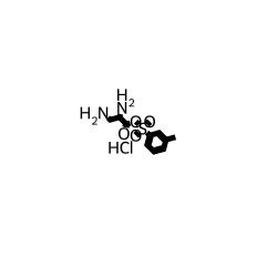 Cc1cccc(S(=O)(=O)OC(=O)C(N)CN)c1.Cl